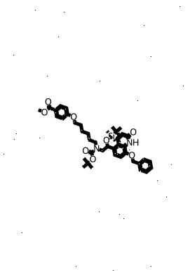 COC(=O)c1ccc(OCCCCCCN(CC(O[Si](C)(C)C(C)(C)C)c2ccc(OCc3ccccc3)c3[nH]c(=O)ccc23)C(=O)OC(C)(C)C)cc1